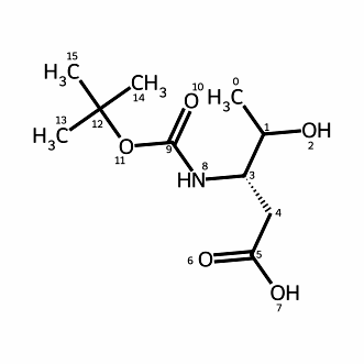 CC(O)[C@H](CC(=O)O)NC(=O)OC(C)(C)C